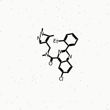 CCc1ccccc1-c1nc(C(=O)N(C)Cc2cnn(C)c2C)c2cc(Cl)ccc2n1